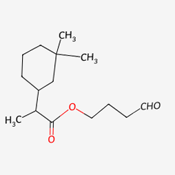 CC(C(=O)OCCCC=O)C1CCCC(C)(C)C1